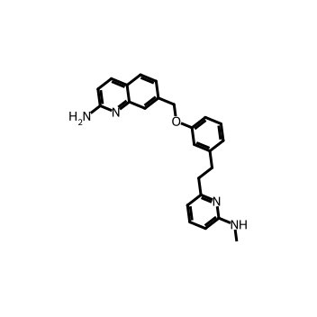 CNc1cccc(CCc2cccc(OCc3ccc4ccc(N)nc4c3)c2)n1